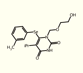 Cc1cccc([Se]c2c(C(C)C)c(=O)[nH]c(=O)n2COCCO)c1